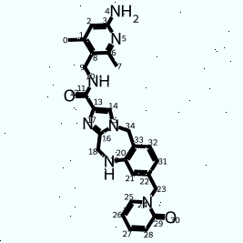 Cc1cc(N)nc(C)c1CNC(=O)c1cn2c(n1)CNc1cc(Cn3ccccc3=O)ccc1C2